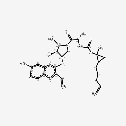 C=CCCCC1CC1(C)OC(=O)N[C@H](C(=O)N1C[C@H](Oc2nc3cc(OC)ccc3nc2C=C)[C@@H](C)[C@H]1C(=O)O)C(C)(C)C